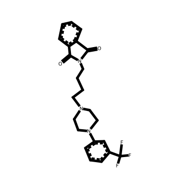 O=C1c2ccccc2C(=O)N1CCCCN1CCN(c2cccc(C(F)(F)F)c2)CC1